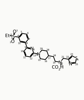 CCS(=O)(=O)c1cccc(-c2cccc(N3CCC(CCN(Cc4cscn4)C(=O)O)CC3)n2)c1